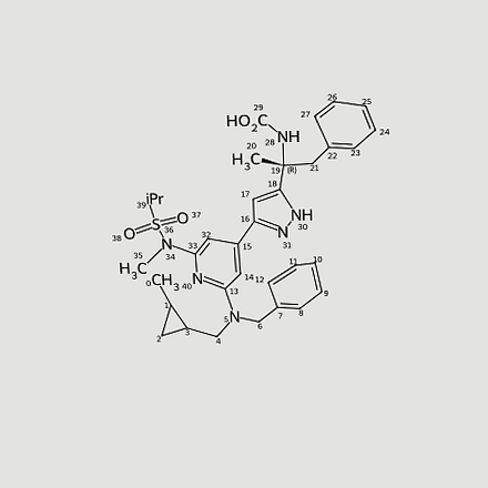 CC1CC1CN(Cc1ccccc1)c1cc(-c2cc([C@@](C)(Cc3ccccc3)NC(=O)O)[nH]n2)cc(N(C)S(=O)(=O)C(C)C)n1